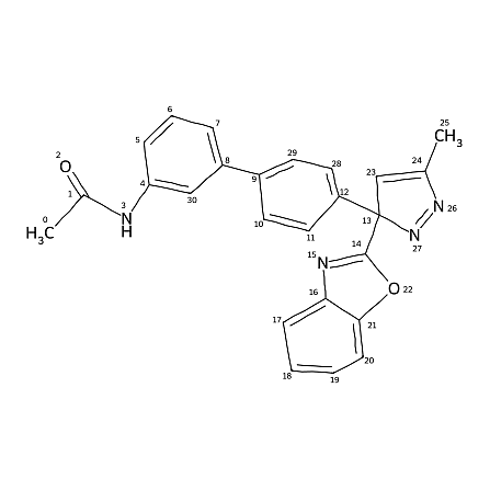 CC(=O)Nc1cccc(-c2ccc(C3(c4nc5ccccc5o4)C=C(C)N=N3)cc2)c1